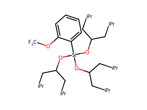 CC(C)CC(CC(C)C)O[Si](OC(CC(C)C)CC(C)C)(OC(CC(C)C)CC(C)C)c1ccccc1OC(F)(F)F